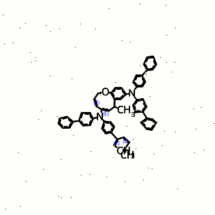 C#C/C=C\C(=C/C)c1ccc(N(C2=C/C(C)c3cc(N(c4ccc(-c5ccccc5)cc4)c4ccc(-c5ccccc5)cc4)ccc3OC/C=C\2)c2ccc(-c3ccccc3)cc2)cc1